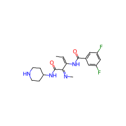 C/C=C(NC(=O)c1cc(F)cc(F)c1)\C(=N/C)C(=O)NC1CCNCC1